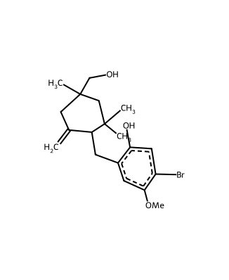 C=C1CC(C)(CO)CC(C)(C)C1Cc1cc(OC)c(Br)cc1O